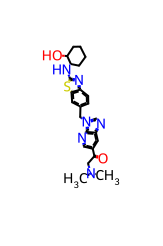 CN(C)CC(=O)c1cnc2c(c1)ncn2Cc1ccc2nc(NC3CCCCC3O)sc2c1